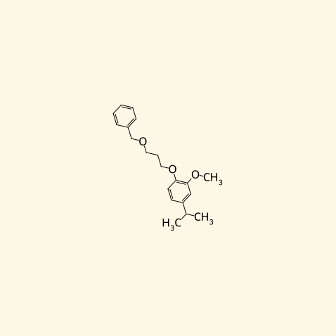 COc1cc(C(C)C)ccc1OCCCOCc1ccccc1